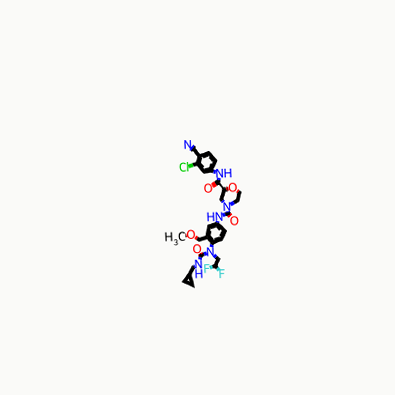 COCc1cc(NC(=O)N2CCO[C@H](C(=O)Nc3ccc(C#N)c(Cl)c3)C2)ccc1N(CC(F)F)C(=O)NCC1CC1